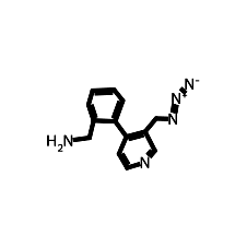 [N-]=[N+]=NCc1cnccc1-c1ccccc1CN